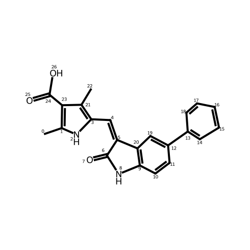 Cc1[nH]c(C=C2C(=O)Nc3ccc(-c4ccccc4)cc32)c(C)c1C(=O)O